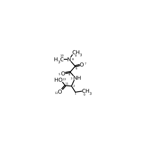 CCC(NC(=O)C(=O)N(C)C)C(=O)O